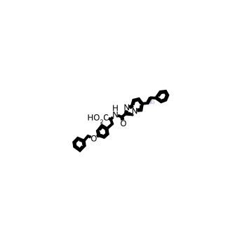 O=C(NC(Cc1ccc(OCc2ccccc2)cc1)C(=O)O)c1cn2cc(/C=C/c3ccccc3)ccc2n1